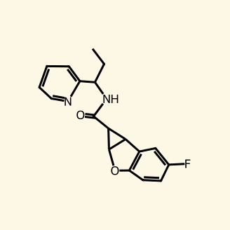 CCC(NC(=O)C1C2Oc3ccc(F)cc3C21)c1ccccn1